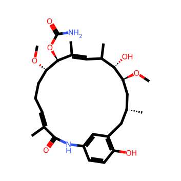 CO[C@H]1CC/C=C(\C)C(=O)Nc2ccc(O)c(c2)C[C@@H](C)C[C@H](OC)[C@@H](O)C(C)/C=C(\C)[C@@H]1OC(N)=O